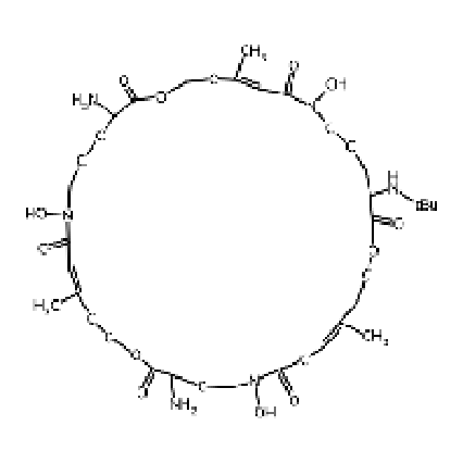 C/C1=C/C(=O)N(O)CCCC(N)C(=O)OCC/C(C)=C/C(=O)N(O)CCCC(NC(C)(C)C)C(=O)OCC/C(C)=C\CC(=O)N(O)CCC(N)C(=O)OCC1